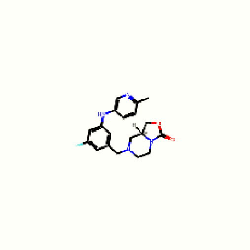 Cc1ccc(Nc2cc(F)cc(CN3CCN4C(=O)OC[C@H]4C3)c2)cn1